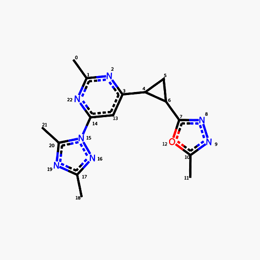 Cc1nc(C2CC2c2nnc(C)o2)cc(-n2nc(C)nc2C)n1